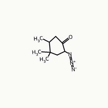 CC1CC(=O)C(N=[N+]=[N-])CC1(C)C